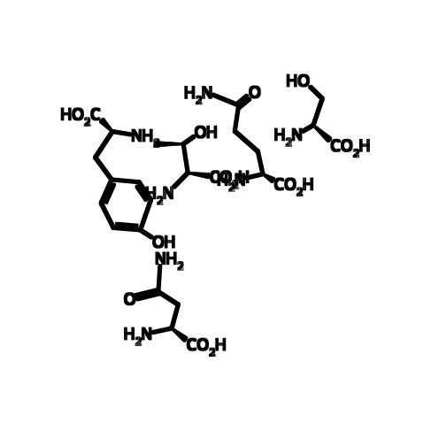 C[C@@H](O)[C@H](N)C(=O)O.NC(=O)CC[C@H](N)C(=O)O.NC(=O)C[C@H](N)C(=O)O.N[C@@H](CO)C(=O)O.N[C@@H](Cc1ccc(O)cc1)C(=O)O